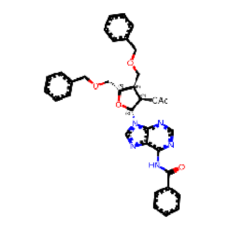 CC(=O)O[C@@H]1[C@H](COCc2ccccc2)[C@@H](COCc2ccccc2)O[C@H]1n1cnc2c(NC(=O)c3ccccc3)ncnc21